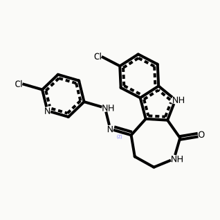 O=C1NCC/C(=N/Nc2ccc(Cl)nc2)c2c1[nH]c1ccc(Cl)cc21